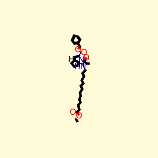 CCOC(=O)CCCCCCCCCCCCCNC(C)C(=O)N1[C@H](C(=O)OCc2ccccc2)C[C@@H]2CCC[C@@H]21